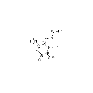 CCCn1c(=O)cc(N)n(CCCF)c1=O